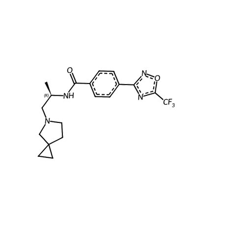 C[C@H](CN1CCC2(CC2)C1)NC(=O)c1ccc(-c2noc(C(F)(F)F)n2)cc1